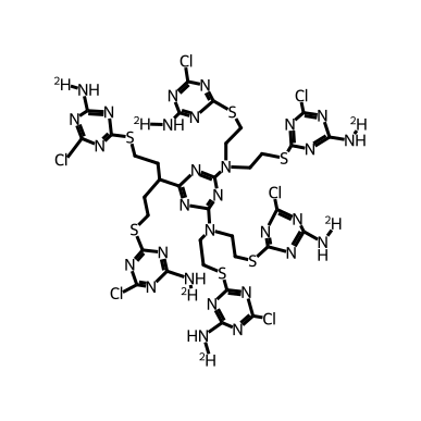 [2H]Nc1nc(Cl)nc(SCCC(CCSc2nc(Cl)nc(N[2H])n2)c2nc(N(CCSc3nc(Cl)nc(N[2H])n3)CCSc3nc(Cl)nc(N[2H])n3)nc(N(CCSc3nc(Cl)nc(N[2H])n3)CCSc3nc(Cl)nc(N[2H])n3)n2)n1